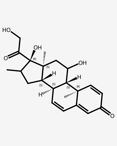 CC1C[C@H]2[C@@H]3C=CC4=CC(=O)C=C[C@]4(C)[C@H]3C(O)C[C@]2(C)[C@@]1(O)C(=O)CO